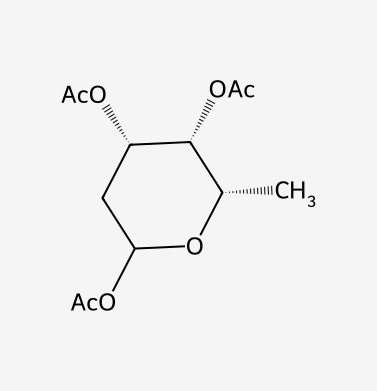 CC(=O)OC1C[C@H](OC(C)=O)[C@H](OC(C)=O)[C@H](C)O1